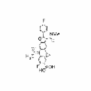 CNC(=O)c1c(-c2ccc(F)cc2)oc2cc(N(c3ccc(B(O)O)c(F)c3)[S+](C)[O-])c(C3CC3)cc12